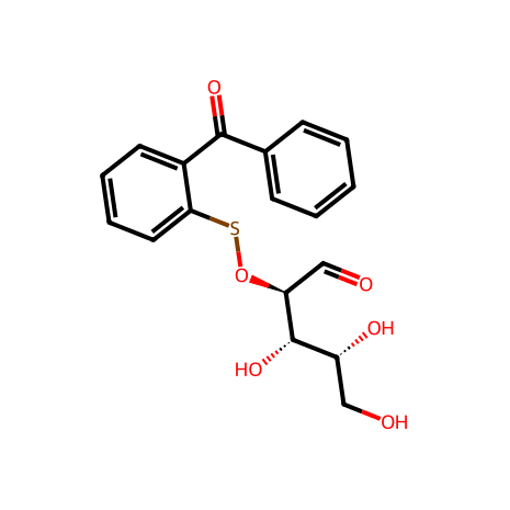 O=C[C@H](OSc1ccccc1C(=O)c1ccccc1)[C@@H](O)[C@H](O)CO